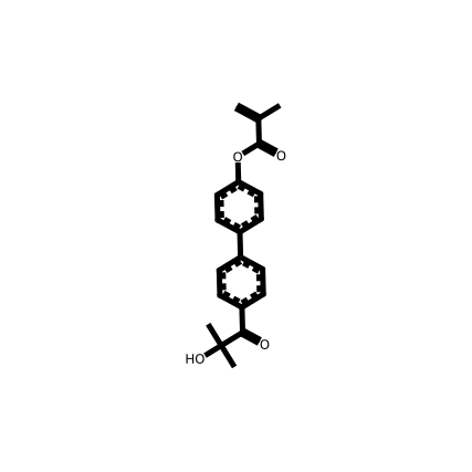 C=C(C)C(=O)Oc1ccc(-c2ccc(C(=O)C(C)(C)O)cc2)cc1